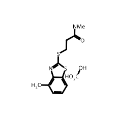 CNC(=O)CCSc1nc2c(C)cccc2s1.O=C(O)O